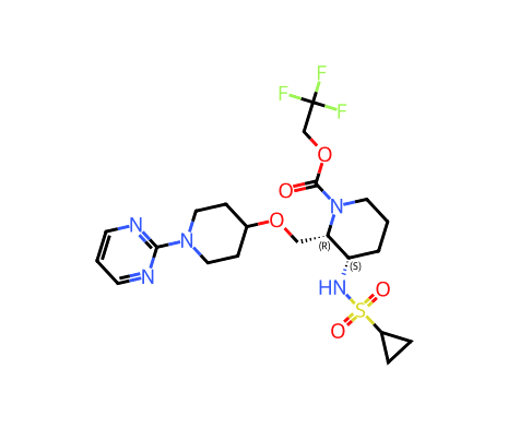 O=C(OCC(F)(F)F)N1CCC[C@H](NS(=O)(=O)C2CC2)[C@@H]1COC1CCN(c2ncccn2)CC1